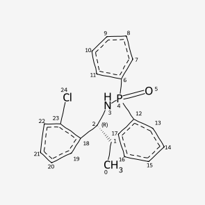 CC[C@@H](NP(=O)(c1ccccc1)c1ccccc1)c1ccccc1Cl